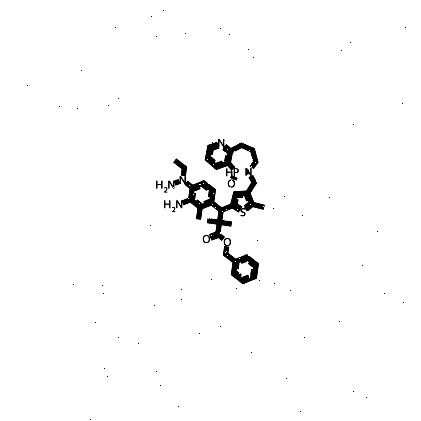 CCN(N)c1ccc(C(c2cc(CN3CCCc4ncccc4[PH]3=O)c(C)s2)C(C)(C)C(=O)OCc2ccccc2)c(C)c1N